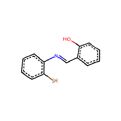 Oc1ccccc1C=Nc1ccccc1S